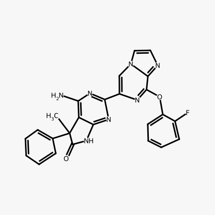 CC1(c2ccccc2)C(=O)Nc2nc(-c3cn4ccnc4c(Oc4ccccc4F)n3)nc(N)c21